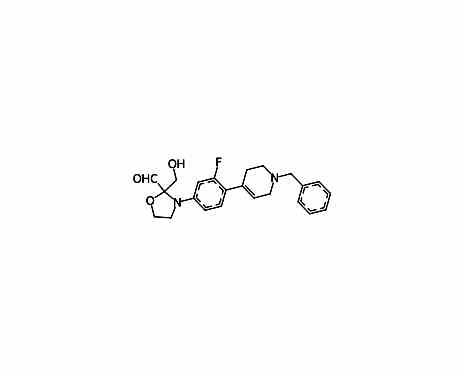 O=CC1(CO)OCCN1c1ccc(C2=CCN(Cc3ccccc3)CC2)c(F)c1